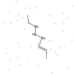 CC=CBBBCC